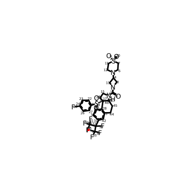 O=C(N1CC(N2CCS(=O)(=O)CC2)C1)N1CC[C@@]2(S(=O)(=O)c3ccc(F)cc3)c3ccc(C(F)(C(F)(F)F)C(F)(F)F)cc3CC[C@@H]12